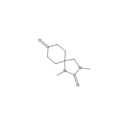 CN1CC2(CCC(=O)CC2)N(C)C1=O